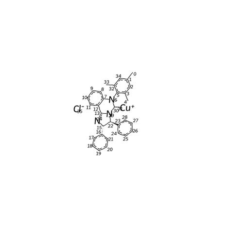 Cc1cc(C)c(N2c3ccccc3C3=N[C@@H](c4ccccc4)[C@H](c4ccccc4)N3[CH]2[Cu+])c(C)c1.[Cl-]